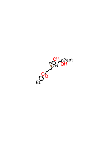 CCCCC[C@H](O)/C=C/[C@@H]1[C@H]2CC(CCCCC(=O)Oc3ccc(CC)cc3)S[C@@H]2C[C@H]1O